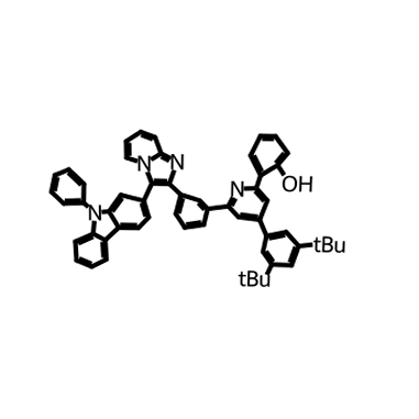 CC(C)(C)c1cc(-c2cc(-c3cccc(-c4nc5ccccn5c4-c4ccc5c6ccccc6n(-c6ccccc6)c5c4)c3)nc(-c3ccccc3O)c2)cc(C(C)(C)C)c1